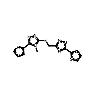 Cn1c(SCc2noc(-c3cccs3)n2)nnc1-c1cccs1